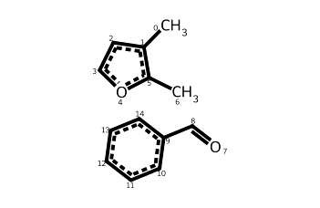 Cc1ccoc1C.O=Cc1ccccc1